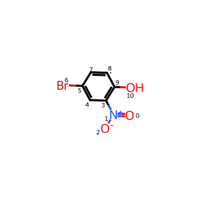 O=[N+]([O-])c1cc(Br)c[c]c1O